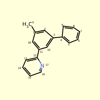 Cc1cc(-c2ccccc2)cc(-c2ccccn2)c1